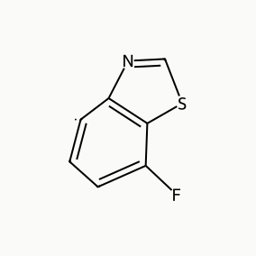 Fc1cc[c]c2ncsc12